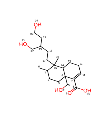 CC1CCC2(CO)C(C(=O)O)=CCCC2C1(C)CCC(CO)CCO